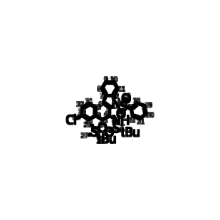 CC(C)(C)[S+]([O-])N[C@H](c1cc2ccccc2n1S(=O)(=O)c1ccccc1)[C@H](O[Si](C)(C)C(C)(C)C)c1cccc(Cl)c1